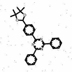 CC1(C)OC(c2ccc(-c3nc(-c4ccccc4)nc(-c4ccccc4)n3)cc2)OC1(C)C